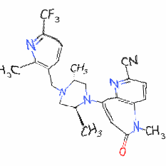 Cc1nc(C(F)(F)F)ccc1CN1C[C@H](C)N(c2cc(=O)n(C)c3ccc(C#N)nc23)C[C@H]1C